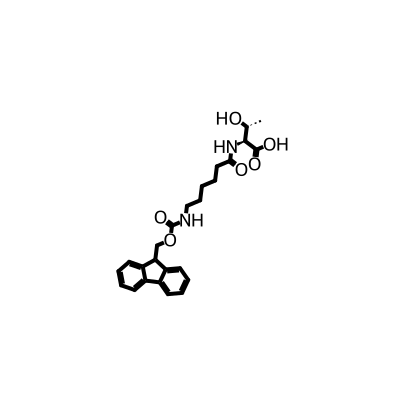 C[C@@H](O)[C@H](NC(=O)CCCCCNC(=O)OCC1c2ccccc2-c2ccccc21)C(=O)O